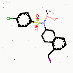 CB(O)N(C1CCc2c(CI)cccc2C1)S(=O)(=O)c1ccc(Cl)cc1